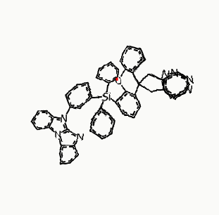 c1ccc([Si](c2ccccc2)(c2cccc(-n3c4ccccc4n4c5ccccc5nc34)c2)c2cccc3c2Oc2ccccc2C3(Cc2ccncn2)Cc2ccncn2)cc1